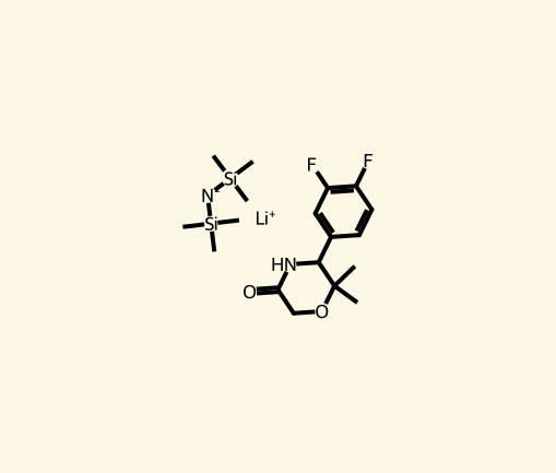 CC1(C)OCC(=O)NC1c1ccc(F)c(F)c1.C[Si](C)(C)[N-][Si](C)(C)C.[Li+]